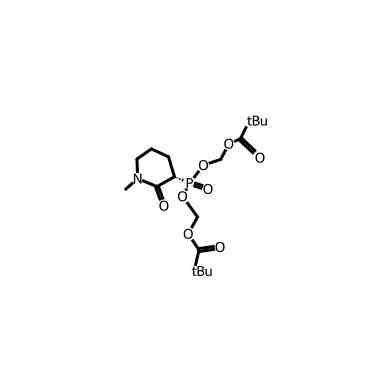 CN1CCC[C@H](P(=O)(OCOC(=O)C(C)(C)C)OCOC(=O)C(C)(C)C)C1=O